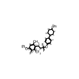 CCCC1CCC(c2ccc(OC(F)(F)CCc3c(C)cc(OCC)c(F)c3C(F)(F)F)cc2)CC1